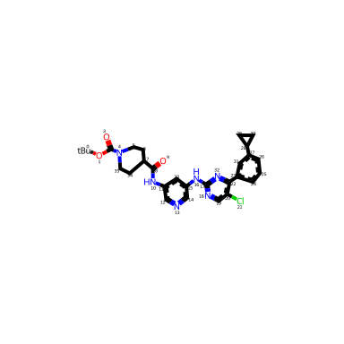 CC(C)(C)OC(=O)N1CCC(C(=O)Nc2cncc(Nc3ncc(Cl)c(-c4cccc(C5CC5)c4)n3)c2)CC1